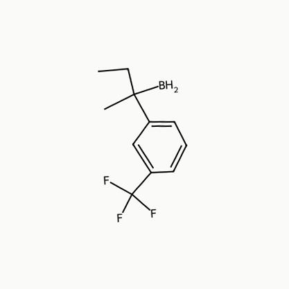 BC(C)(CC)c1cccc(C(F)(F)F)c1